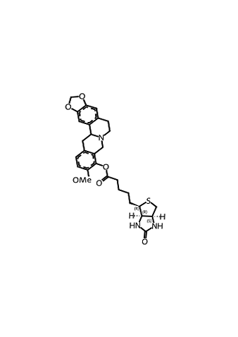 COc1ccc2c(c1OC(=O)CCCC[C@H]1SC[C@H]3NC(=O)N[C@H]31)CN1CCc3cc4c(cc3C1C2)OCO4